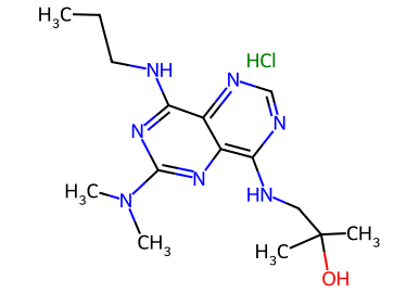 CCCNc1nc(N(C)C)nc2c(NCC(C)(C)O)ncnc12.Cl